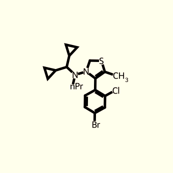 CCCN(C(C1CC1)C1CC1)N1CSC(C)=C1c1ccc(Br)cc1Cl